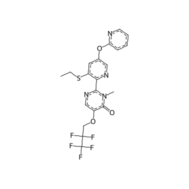 CCSc1cc(Oc2ccccn2)cnc1-c1ncc(OCC(F)(F)C(F)(F)F)c(=O)n1C